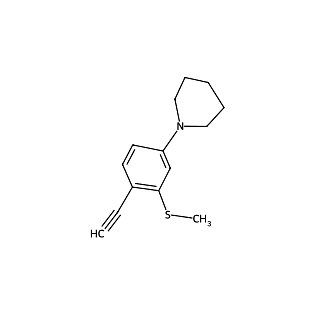 C#Cc1ccc(N2CCCCC2)cc1SC